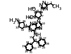 CCc1nnn([C@@H]2C[C@@H](n3cnc4c(NCC(c5ccccc5)c5ccccc5)nc(N5CCC(N)C5)nc43)[C@H](O)[C@@H]2O)n1